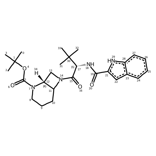 CC(C)(C)OC(=O)N1CCCC2[C@H]1CN2C(=O)[C@@H](NC(=O)c1cc2ccccc2[nH]1)C(C)(C)C